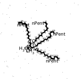 CCCCC/C=C\C/C=C\CCCCCCCCOC[C@@H](OCCCCCCCC/C=C\C/C=C\CCCCC)[C@H]1OC(C)(C)O[C@@H]1[C@@H](COCCCCCCCC/C=C\C/C=C\CCCCC)OCCCCCCCC/C=C\C/C=C\CCCCC